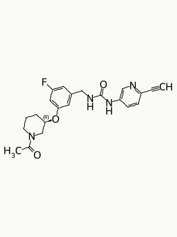 C#Cc1ccc(NC(=O)NCc2cc(F)cc(O[C@@H]3CCCN(C(C)=O)C3)c2)cn1